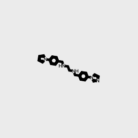 c1ccn(-c2ccc(CNCCNCc3ccc(-n4ccnc4)cc3)cc2)c1